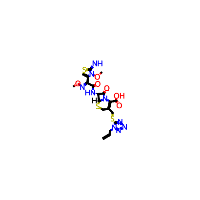 C=CCn1nnnc1SCC1=C(C(=O)O)N2C(=O)[C@@H](NC(=O)C(=NOC)c3csc(=N)n3OC)[C@@H]2SC1